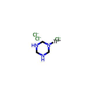 [Cl-].[Cl-].[Cl-].[Ti+3][N]1CNCNC1